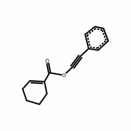 O=C(OC#Cc1ccccc1)C1=CCCCC1